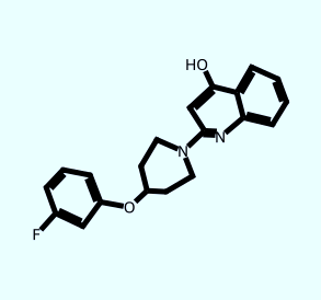 Oc1cc(N2CCC(Oc3cccc(F)c3)CC2)nc2ccccc12